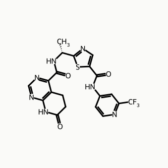 C[C@@H](NC(=O)c1ncnc2c1CCC(=O)N2)c1ncc(C(=O)Nc2ccnc(C(F)(F)F)c2)s1